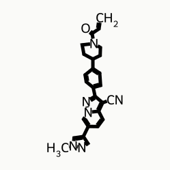 C=CC(=O)N1CCC(c2ccc(-c3nn4cc(-c5cnn(C)c5)ccc4c3C#N)cc2)CC1